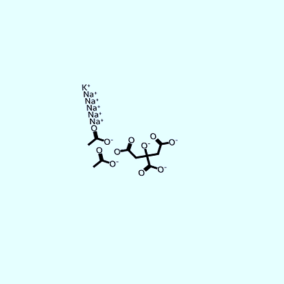 CC(=O)[O-].CC(=O)[O-].O=C([O-])CC([O-])(CC(=O)[O-])C(=O)[O-].[K+].[Na+].[Na+].[Na+].[Na+].[Na+]